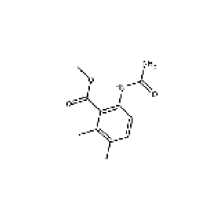 COC(=O)c1c(NC(N)=O)ccc(F)c1C